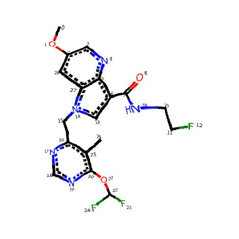 COc1cnc2c(C(=O)NCCF)cn(Cc3ncnc(OC(F)F)c3C)c2c1